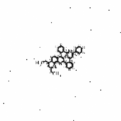 CCc1cc(CC)c2ccc3ccc(-c4ccccc4-c4cc(-c5ccccc5)nc(-c5ccccc5)n4)nc3c2n1